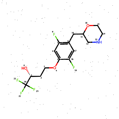 O[C@H](CCOc1cc(F)c(CC2CNCCO2)cc1F)C(F)(F)F